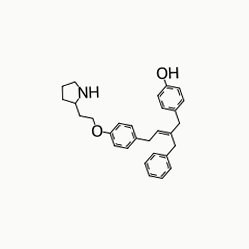 Oc1ccc(CC(=CCc2ccc(OCCC3CCCN3)cc2)Cc2ccccc2)cc1